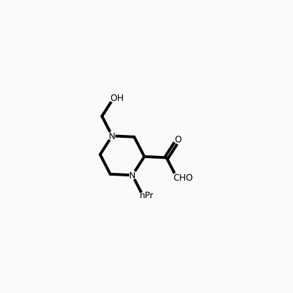 CCCN1CCN(CO)CC1C(=O)C=O